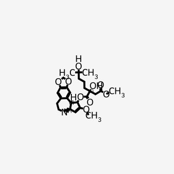 COC(=O)C[C@@](O)(CCCC(C)(C)O)C(=O)OC1C(OC)=C[C@]23CCCN2CCc2cc4c(cc2[C@H]13)OCO4